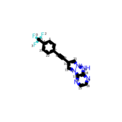 FC(F)(F)c1ccc(C#Cc2cn3c4nccnc4[nH][n+]3c2)cc1